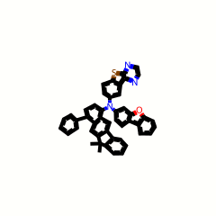 CC1(C)c2ccccc2-c2cc3c(N(c4ccc5c(c4)oc4ccccc45)c4ccc5sc6nccnc6c5c4)ccc(-c4ccccc4)c3cc21